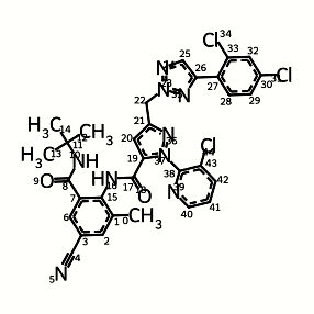 Cc1cc(C#N)cc(C(=O)NC(C)(C)C)c1NC(=O)c1cc(Cn2ncc(-c3ccc(Cl)cc3Cl)n2)nn1-c1ncccc1Cl